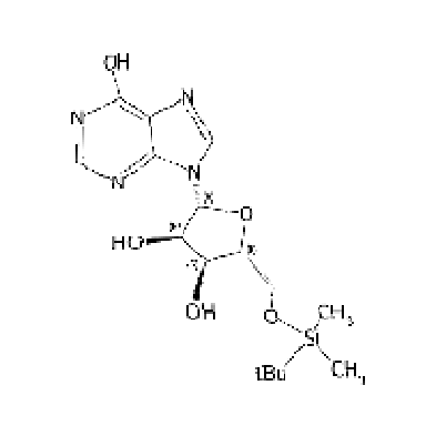 CC(C)(C)[Si](C)(C)OC[C@H]1O[C@@H](n2cnc3c(O)ncnc32)[C@H](O)[C@@H]1O